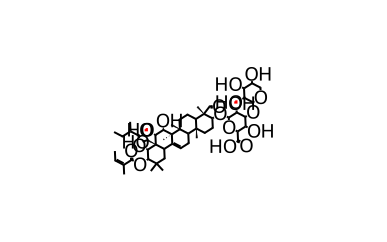 C/C=C(/C)C(=O)O[C@H]1[C@H](OC(=O)C(C)CC)[C@@]2(CO)C(CC1(C)C)C1=CCC3[C@@]4(C)CCC(OC5OC(C(=O)O)C(O)C(OC6OCC(O)C(O)C6O)C5O)[C@@](C)(C=O)C4CC[C@@]3(C)[C@]1(C)[C@@H](O)[C@H]2O